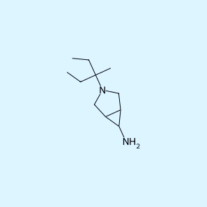 CCC(C)(CC)N1CC2C(N)C2C1